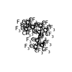 FC(F)(F)c1cc([PH+](c2cc(C(F)(F)F)cc(C(F)(F)F)c2)c2cc(C(F)(F)F)cc(C(F)(F)F)c2)cc(C(F)(F)F)c1.FC(F)(F)c1cc([PH+](c2cc(C(F)(F)F)cc(C(F)(F)F)c2)c2cc(C(F)(F)F)cc(C(F)(F)F)c2)cc(C(F)(F)F)c1.FC(F)(F)c1cc([PH+](c2cc(C(F)(F)F)cc(C(F)(F)F)c2)c2cc(C(F)(F)F)cc(C(F)(F)F)c2)cc(C(F)(F)F)c1.[Pd]